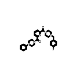 O=C(c1cccc(C(=O)N2CCN(c3ccccc3)CC2)n1)N1CCN(Cc2ccc(F)cc2)CC1